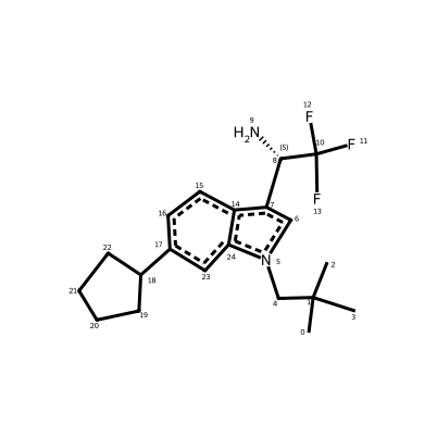 CC(C)(C)Cn1cc([C@H](N)C(F)(F)F)c2ccc(C3CCCC3)cc21